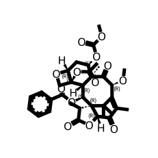 COC(=O)O[C@H]1C[C@H]2OC[C@@]2(OC(C)=O)[C@H]2[C@H](OC(=O)c3ccccc3)[C@]34C(C)C(=O)O[C@H]3C(=O)C(C)=C([C@@H](OC)C(=O)[C@]12C)C4(C)C